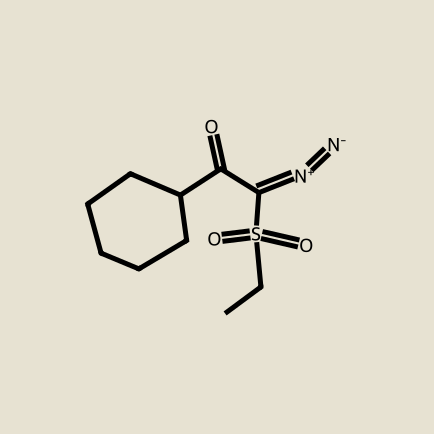 CCS(=O)(=O)C(=[N+]=[N-])C(=O)C1CCCCC1